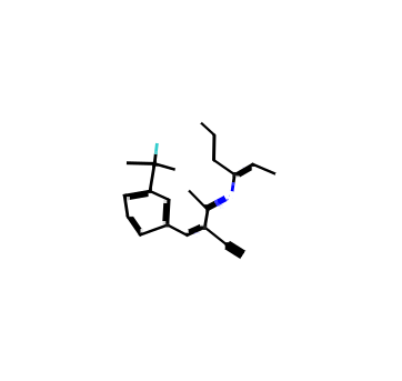 C#CC(=C/c1cccc(C(C)(C)F)c1)/C(C)=N/C(=C\C)CCC